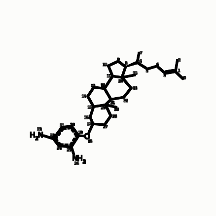 CC(C)=CCCC(C)[C@@H]1CCC2C3CCC4CC(Oc5ccc(N)cc5N)CCC4(C)C3CCC21C